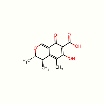 CC1=C2C(=CO[C@@H](C)[C@@H]2C)C(=O)C(C(=O)O)=C1O